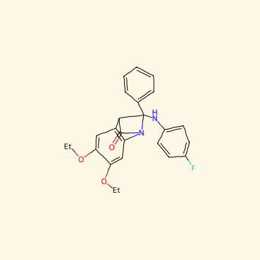 CCOc1cc2c(cc1OCC)N1C(=O)C2C1(Nc1ccc(F)cc1)c1ccccc1